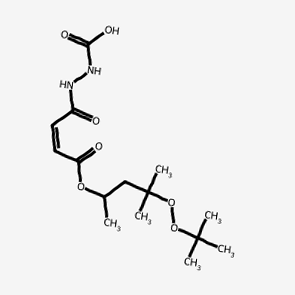 CC(CC(C)(C)OOC(C)(C)C)OC(=O)/C=C\C(=O)NNC(=O)O